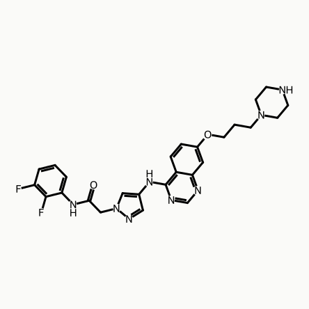 O=C(Cn1cc(Nc2ncnc3cc(OCCCN4CCNCC4)ccc23)cn1)Nc1cccc(F)c1F